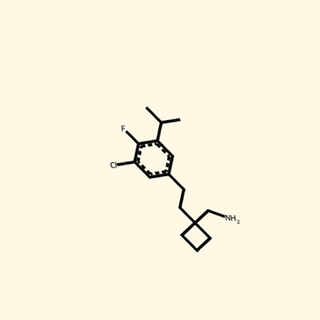 CC(C)c1cc(CCC2(CN)CCC2)cc(Cl)c1F